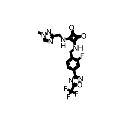 Cn1cnc(CNc2c(NCc3ccc(-c4noc(C(F)(F)F)n4)cc3F)c(=O)c2=O)n1